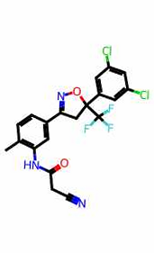 Cc1ccc(C2=NOC(c3cc(Cl)cc(Cl)c3)(C(F)(F)F)C2)cc1NC(=O)CC#N